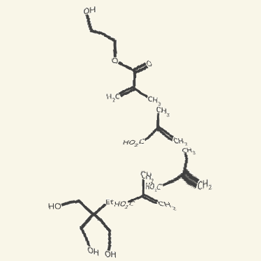 C=C(C)C(=O)O.C=C(C)C(=O)O.C=C(C)C(=O)O.C=C(C)C(=O)OCCO.CCC(CO)(CO)CO